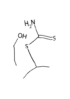 CC(C)SC(N)=S.CCO